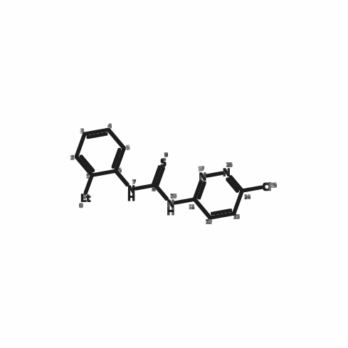 CCc1ccccc1NC(=S)Nc1ccc(Cl)nn1